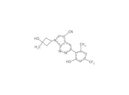 Cc1cc(C(F)(F)F)cc(O)c1-c1cc2c(C#N)cn(C3CC(C)(O)C3)c2nn1